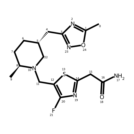 Cc1nc(C[C@H]2CC[C@H](C)N(Cc3sc(CC(N)=O)nc3F)C2)no1